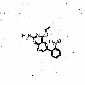 CCOc1nc(N)nc2ncc(-c3ccccc3[N+](=O)[O-])nc12